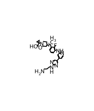 CC(c1cccc(Nc2cc(-c3cnc(NCCCN)nc3)ccn2)c1F)N1CCN(C2(C(=O)O)CC2)CC1